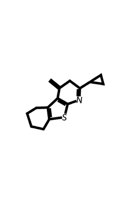 C=C1CC(C2CC2)=Nc2sc3c(c21)CCCC3